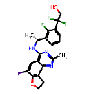 Cc1nc(N[C@H](C)c2cccc(C(F)(F)CO)c2F)c2cc(I)c3c(c2n1)CCO3